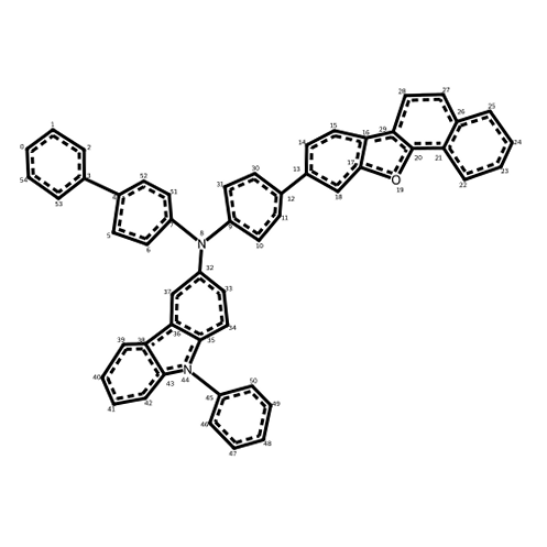 c1ccc(-c2ccc(N(c3ccc(-c4ccc5c(c4)oc4c6ccccc6ccc54)cc3)c3ccc4c(c3)c3ccccc3n4-c3ccccc3)cc2)cc1